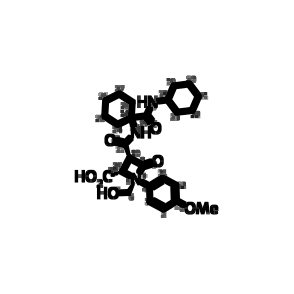 COc1ccc([N@@+]2(CO)C(=O)[C@H](C(=O)NC3(C(=O)NC4CCCCC4)CCCCC3)[C@H]2C(=O)O)cc1